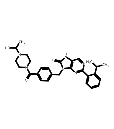 CC(C)c1ccccc1-c1ncc2[nH]c(=O)n(Cc3ccc(C(=O)N4CCN(C(C)O)CC4)cc3)c2n1